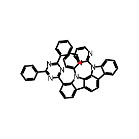 c1ccc(-c2nc(-c3ccccc3)nc(-c3cccc4c5ccc6c7ccccc7n(-c7ncccn7)c6c5n(-c5ccccc5)c34)n2)cc1